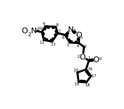 O=C(OCc1cc(-c2ccc([N+](=O)[O-])cc2)no1)C1=CC=CC1